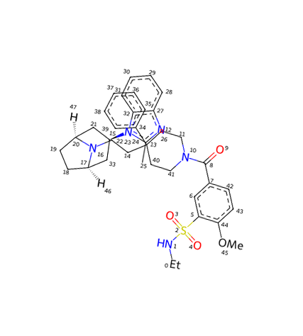 CCNS(=O)(=O)c1cc(C(=O)N2CCC(CCN3[C@@H]4CC[C@H]3C[C@@H](n3c(C)nc5ccccc53)C4)(c3ccccc3)CC2)ccc1OC